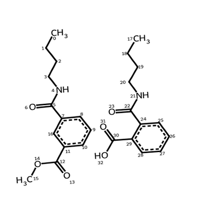 CCCCNC(=O)c1cccc(C(=O)OC)c1.CCCCNC(=O)c1ccccc1C(=O)O